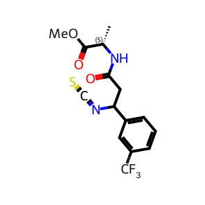 COC(=O)[C@H](C)NC(=O)CC(N=C=S)c1cccc(C(F)(F)F)c1